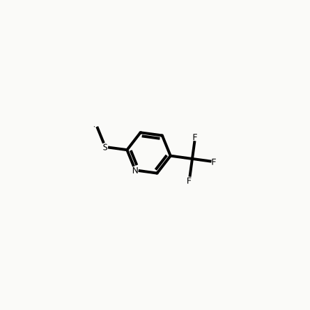 [CH2]Sc1ccc(C(F)(F)F)cn1